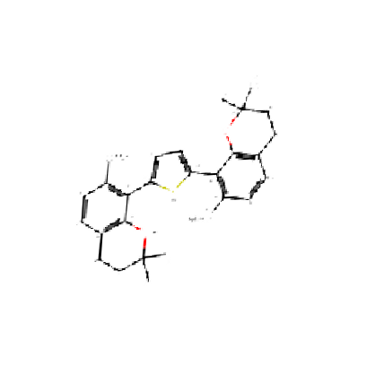 CCC1(C)CCc2ccc(OC)c(-c3ccc(-c4c(OC)ccc5c4OC(C)(CC)CC5)s3)c2O1